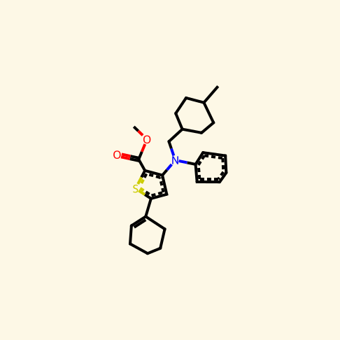 COC(=O)c1sc(C2=CCCCC2)cc1N(CC1CCC(C)CC1)c1ccccc1